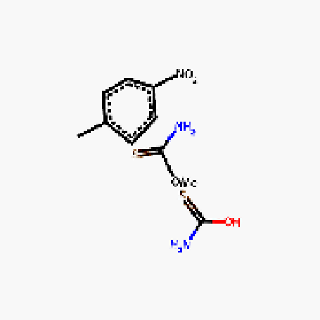 COC(N)=S.Cc1ccc([N+](=O)[O-])cc1.NC(O)=S